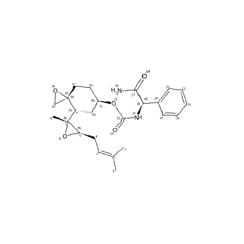 CC(C)=CC[C@H]1O[C@]1(C)[C@H]1C[C@H](OC(=O)N[C@@H](C(N)=O)c2ccccc2)CC[C@]12CO2